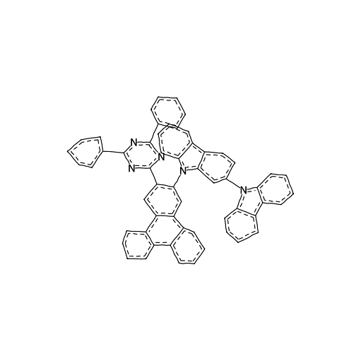 c1ccc(-c2nc(-c3ccccc3)nc(-c3cc4c5ccccc5c5ccccc5c4cc3-n3c4ccccc4c4ccc(-n5c6ccccc6c6ccccc65)cc43)n2)cc1